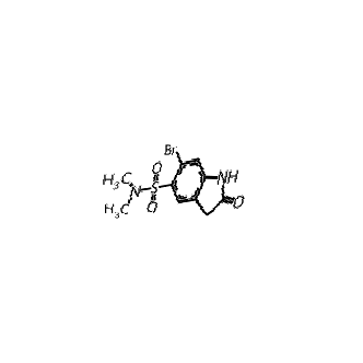 CN(C)S(=O)(=O)c1cc2c(cc1Br)NC(=O)C2